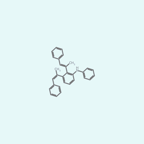 CC(=Cc1ccccc1)c1cccc(Nc2ccccc2)c1C(C)=Cc1ccccc1